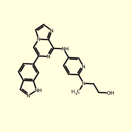 CN(CCO)c1ccc(Nc2nc(-c3ccc4cn[nH]c4c3)cn3ccnc23)cn1